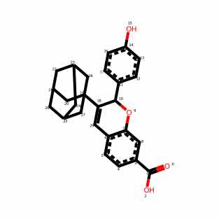 O=C(O)c1ccc2c(c1)OC(c1ccc(O)cc1)C(C13CC4CC(CC(C4)C1)C3)=C2